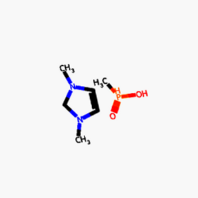 CN1C=CN(C)C1.C[PH](=O)O